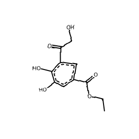 CCOC(=O)c1cc(O)c(O)c(C(=O)CO)c1